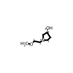 COCCN1CC[C@@H](O)C1